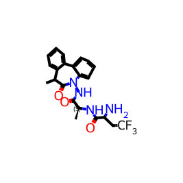 CC1C(=O)N(NC(=O)[C@H](C)NC(=O)C(N)CC(F)(F)F)c2ccccc2-c2ccccc21